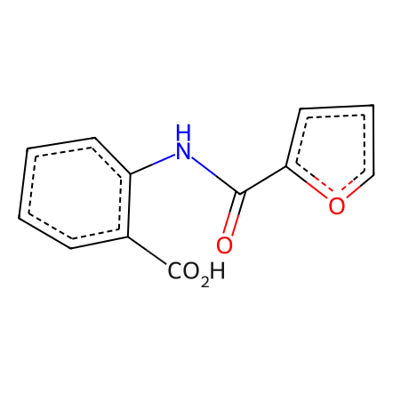 O=C(Nc1ccccc1C(=O)O)c1ccco1